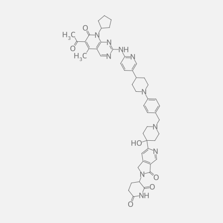 CC(=O)c1c(C)c2cnc(Nc3ccc(C4CCN(c5ccc(CN6CCC(O)(c7cc8c(cn7)C(=O)N(C7CCC(=O)NC7=O)C8)CC6)cc5)CC4)cn3)nc2n(C2CCCC2)c1=O